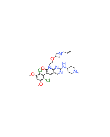 C=CCN1CC(OCCn2c(=O)c(-c3c(Cl)c(OC)cc(OC)c3Cl)cc3cnc(NC4CCN(C)CC4)nc32)C1